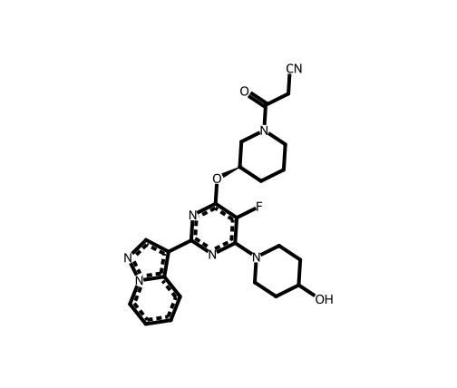 N#CCC(=O)N1CCC[C@@H](Oc2nc(-c3cnn4ccccc34)nc(N3CCC(O)CC3)c2F)C1